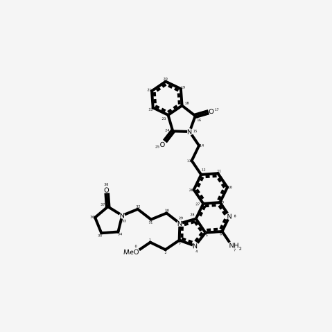 COCCc1nc2c(N)nc3ccc(CCN4C(=O)c5ccccc5C4=O)cc3c2n1CCCN1CCCC1=O